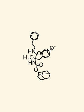 CC(Cc1cc[n+]([O-])cc1)(NC(=O)OC1C2CC3CC(C2)CC1C3)C(=O)NCCc1ccccc1